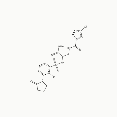 COC(=O)C(CNC(=O)c1ccc(Cl)s1)NS(=O)(=O)c1cccc(N2CCCC2=O)c1Cl